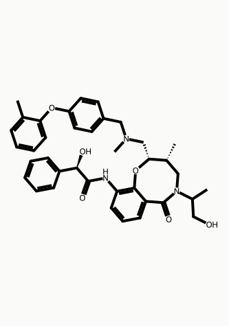 Cc1ccccc1Oc1ccc(CN(C)C[C@H]2Oc3c(NC(=O)[C@H](O)c4ccccc4)cccc3C(=O)N(C(C)CO)C[C@H]2C)cc1